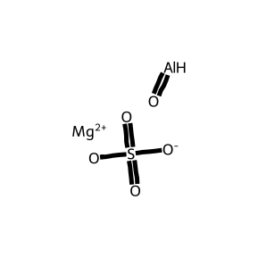 O=S(=O)([O-])[O-].[Mg+2].[O]=[AlH]